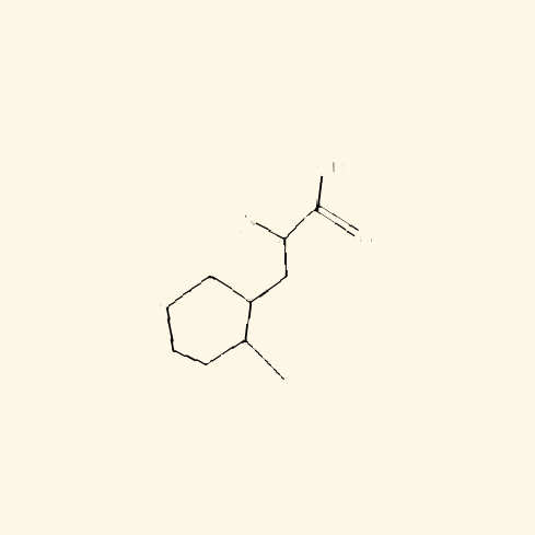 CC1CCCCC1CC(N)C(=O)O